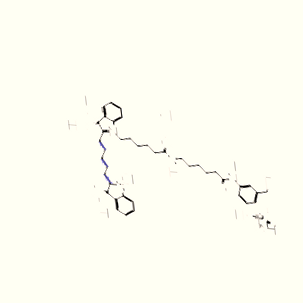 CN1\C(=C/C=C/C=C/C2=[N+](CCCCCC(=O)NCCCCCC(=O)Nc3ccc(OP(=O)(O)O)c(CF)c3)c3ccccc3C2(C)C)C(C)(C)c2ccccc21.[Cl-]